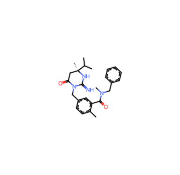 Cc1ccc(CN2C(=N)N[C@](C)(C(C)C)CC2=O)cc1C(=O)N(C)Cc1ccccc1